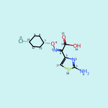 Nc1nc(/C(=N/O[C@H]2CC[C@@H](Cl)CC2)C(=O)O)cs1